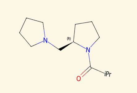 CC(C)C(=O)N1CCC[C@@H]1CN1CCCC1